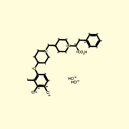 Cc1c(OC2CCN(CC3CCN([C@@H](Cc4ccccc4)C(=O)O)CC3)CC2)ccc(Cl)c1Cl.Cl.Cl